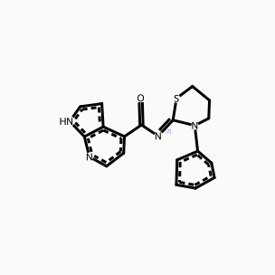 O=C(/N=C1\SCCCN1c1ccccc1)c1ccnc2[nH]ccc12